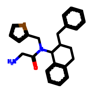 NCC(=O)N(Cc1cccs1)C1c2ccccc2CCC1Cc1ccccc1